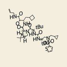 C=CCNC(=O)C(=O)C(CC1CCC1)NC(=O)[C@@H]1[C@@H]2[C@H](CN1C(=O)[C@@H](NC(=O)N[C@H](CN(CC1CC1)S(=O)(=O)c1cccs1)C(C)(C)C)C(C)(C)C)C2(C)C